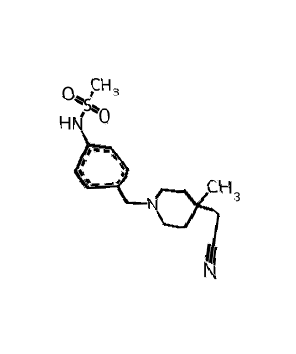 CC1(CC#N)CCN(Cc2ccc(NS(C)(=O)=O)cc2)CC1